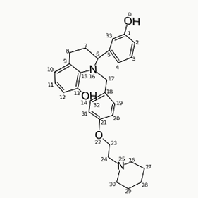 Oc1cccc(C2CCc3cccc(O)c3N2Cc2ccc(OCCN3CCCCC3)cc2)c1